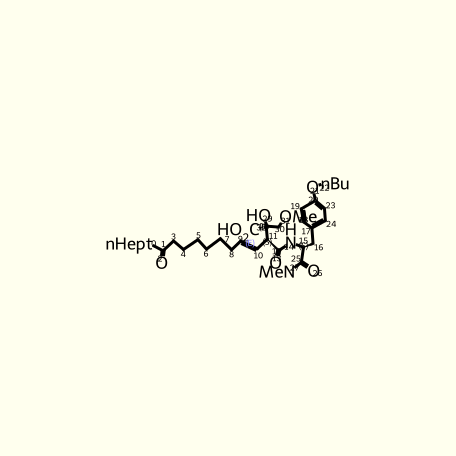 CCCCCCCC(=O)CCCCCC/C=C/[C@H](C(=O)N[C@@H](Cc1ccc(OCCCC)cc1)C(=O)NC)[C@@](O)(COC)C(=O)O